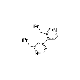 CC(C)Cc1cc(-c2ccncc2CC(C)C)ccn1